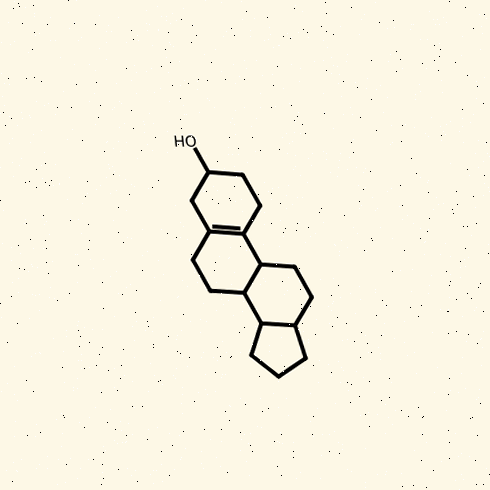 OC1CCC2=C(CCC3C2CCC2CCCC23)C1